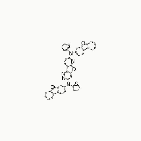 c1csc(N(c2ccc3c(c2)oc2ccccc23)c2cc3oc4nc(N(c5ccc6c(c5)oc5ccccc56)c5cccs5)ccc4c3nn2)c1